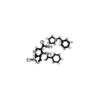 CCn1ncc2c(NC(C)C3CCCCC3)c(C(=O)N[C@@H]3CCN(Cc4ccccc4)C3)cnc21